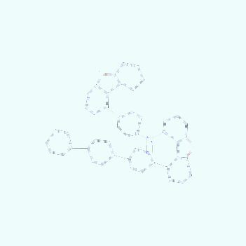 c1ccc(-c2ccc(-c3ccc(-c4cccc5oc6cccc(Nc7ccc(-c8cccc9sc%10ccccc%10c89)cc7)c6c45)cc3)cc2)cc1